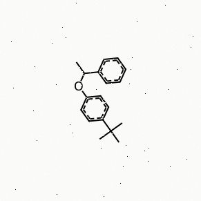 CC(Oc1ccc(C(C)(C)C)cc1)c1ccccc1